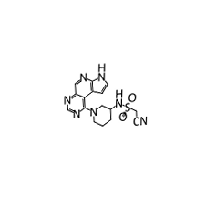 N#CCS(=O)(=O)NC1CCCN(c2ncnc3cnc4[nH]ccc4c23)C1